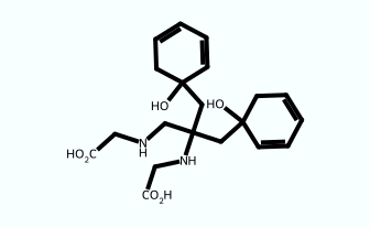 O=C(O)CNCC(CC1(O)C=CC=CC1)(CC1(O)C=CC=CC1)NCC(=O)O